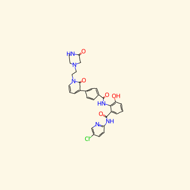 O=C1CN(CCn2cccc(-c3ccc(C(=O)Nc4c(O)cccc4C(=O)Nc4ccc(Cl)cn4)cc3)c2=O)CCN1